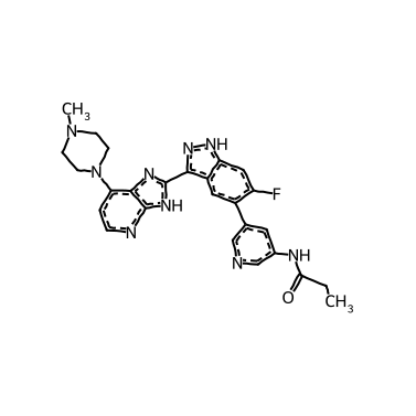 CCC(=O)Nc1cncc(-c2cc3c(-c4nc5c(N6CCN(C)CC6)ccnc5[nH]4)n[nH]c3cc2F)c1